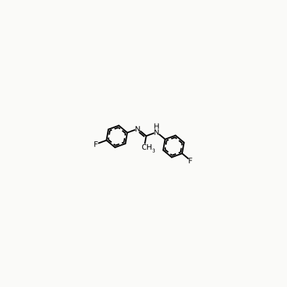 C/C(=N\c1ccc(F)cc1)Nc1ccc(F)cc1